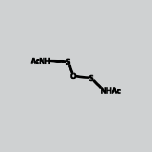 CC(=O)NSOSNC(C)=O